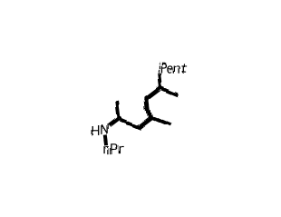 CCCNC(C)CC(C)CC(C)C(C)CCC